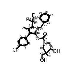 Cc1c(-c2ccc(Cl)cc2)c(OC(=O)N(C)CC(C)(CO)CO)n(Cc2ccccc2)c1C(F)(F)F